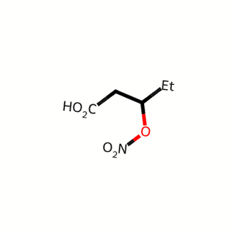 CCC(CC(=O)O)O[N+](=O)[O-]